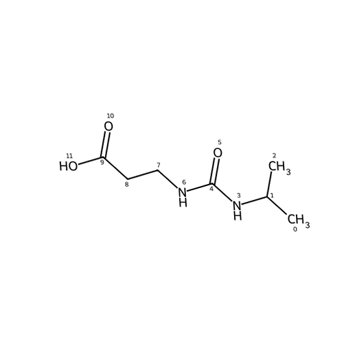 CC(C)NC(=O)NCCC(=O)O